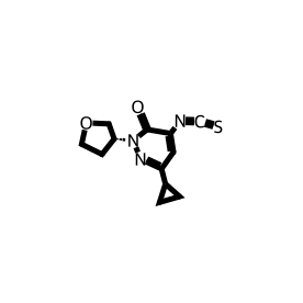 O=c1c(N=C=S)cc(C2CC2)nn1[C@@H]1CCOC1